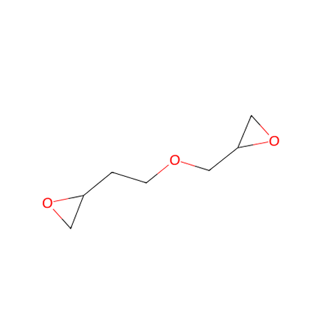 C(CC1CO1)OCC1CO1